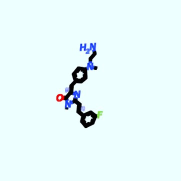 CN1C(=O)/C(=C/c2ccc(N(C)CCN)cc2)N=C1/C=C/c1cccc(F)c1